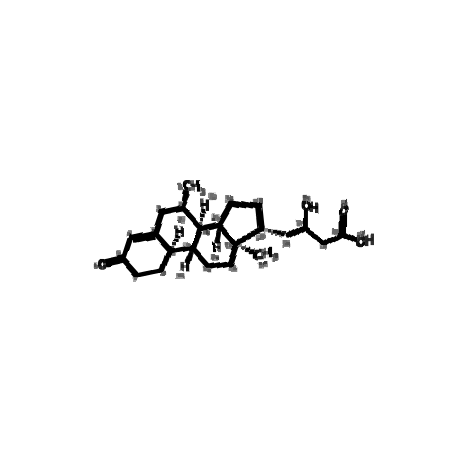 C[C@@H]1CC2=CC(=O)CC[C@@H]2[C@H]2CC[C@]3(C)[C@@H](CC(O)CC(=O)O)CC[C@H]3[C@@H]21